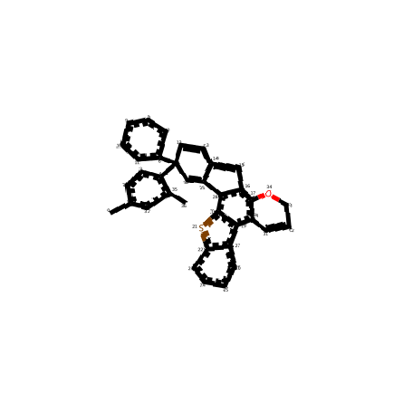 Cc1ccc(C2(c3ccccc3)C=CC3=Cc4c5c(c6c(sc7ccccc76)c4C3=C2)C=CCO5)c(C)c1